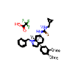 COc1ccc([C@@]23CC[C@@H](NC(=S)NCC4CC4)C[C@@H]2N(Cc2ccccc2)CC3)cc1OC.O=C(O)C(F)(F)F